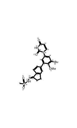 COc1c(-c2ccc3c(c2)CCC3=NNS(C)(=O)=O)cc(-n2ccc(=O)[nH]c2=O)cc1C(C)(C)C